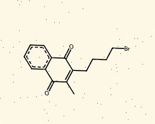 CC1=C(CCCCBr)C(=O)c2ccccc2C1=O